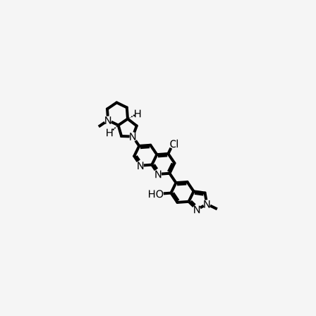 CN1CCC[C@H]2CN(c3cnc4nc(-c5cc6cn(C)nc6cc5O)cc(Cl)c4c3)C[C@H]21